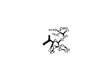 C=C(C)C(=O)OC(CC)[Si](OCC)(OCC)OCC.CCC(S)[Si](OC)(OC)OC